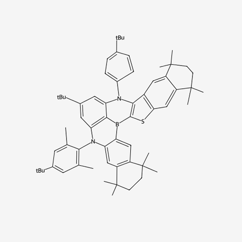 Cc1cc(C(C)(C)C)cc(C)c1N1c2cc3c(cc2B2c4sc5cc6c(cc5c4N(c4ccc(C(C)(C)C)cc4)c4cc(C(C)(C)C)cc1c42)C(C)(C)CCC6(C)C)C(C)(C)CCC3(C)C